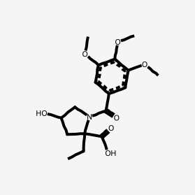 CCC1(C(=O)O)CC(O)CN1C(=O)c1cc(OC)c(OC)c(OC)c1